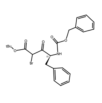 CC(C)(C)OC(=O)C(Br)C(=O)[C@H](Cc1ccccc1)NC(=O)OCc1ccccc1